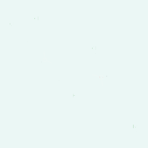 Fc1cc(OCC=C(Cl)Cl)cc(Cl)c1OCCCCBr